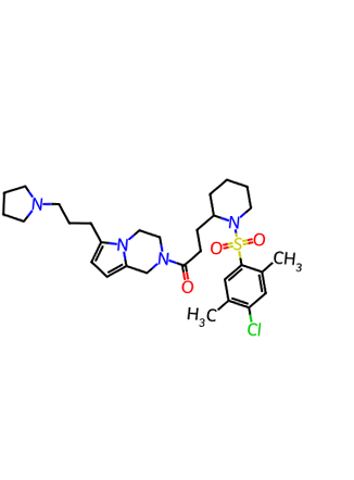 Cc1cc(S(=O)(=O)N2CCCCC2CCC(=O)N2CCn3c(CCCN4CCCC4)ccc3C2)c(C)cc1Cl